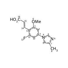 COc1cc(-n2cnc(C)c2)cc(F)c1C=CC(=O)O